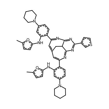 Cc1ccc(Nc2cc(N3CCCCC3)ccc2C2=CC3=CC(c4ccc(N5CCCCC5)cc4Nc4ccc(C)o4)=NC4=NC(c5ccsc5)=NC(=N2)C4C3)o1